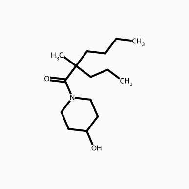 CCCCC(C)(CCC)C(=O)N1CCC(O)CC1